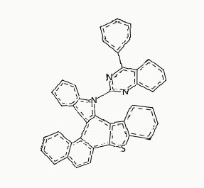 c1ccc(-c2nc(-n3c4ccccc4c4c5c6ccccc6ccc5c5sc6ccccc6c5c43)nc3ccccc23)cc1